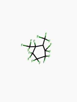 FC(F)(F)[C]1C(F)(F)C(F)(F)C(F)(F)C(F)(F)C1(F)C(F)(F)F